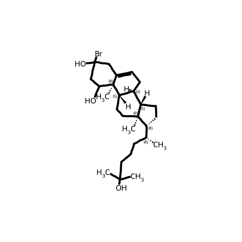 C[C@H](CCCC(C)(C)O)[C@H]1CC[C@H]2[C@@H]3CC=C4CC(O)(Br)CC(O)[C@]4(C)[C@H]3CC[C@]12C